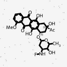 COc1cccc2c1C(=O)c1c(O)c3c(c(O)c1C2=O)C[C@@](O)(C(C)=O)C[C@@H]3OC1CC(NF)C(O)C(C)O1